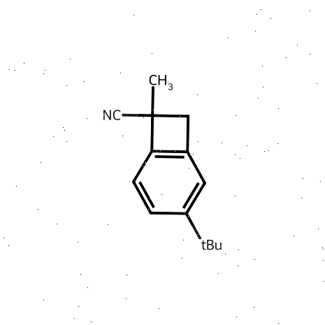 CC(C)(C)c1ccc2c(c1)CC2(C)C#N